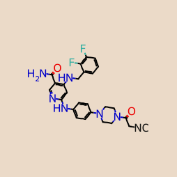 [C-]#[N+]CC(=O)N1CCN(c2ccc(Nc3cc(NCc4cccc(F)c4F)c(C(N)=O)cn3)cc2)CC1